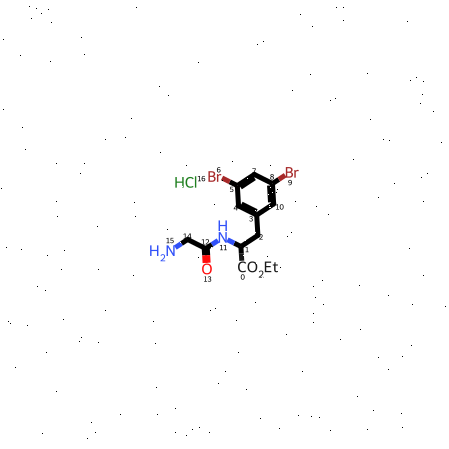 CCOC(=O)C(Cc1cc(Br)cc(Br)c1)NC(=O)CN.Cl